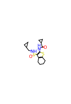 O=C(Nc1sc2c(c1[S+]([O-])NCC1CC1)CCCC2)C1CC1